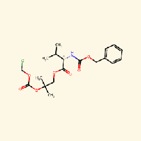 CC(C)[C@H](NC(=O)OCc1ccccc1)C(=O)OCC(C)(C)OC(=O)OCCl